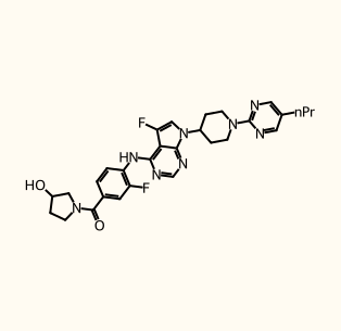 CCCc1cnc(N2CCC(n3cc(F)c4c(Nc5ccc(C(=O)N6CCC(O)C6)cc5F)ncnc43)CC2)nc1